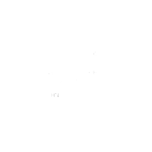 O=C1Nc2ccccc2C1(O)c1ccccc1Cl